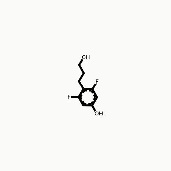 OCCCc1c(F)cc(O)cc1F